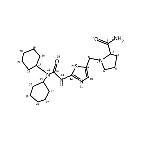 NC(=O)C1[CH]CCN1Cc1cnc(NC(=O)N(C2CCCCC2)C2CCCCC2)s1